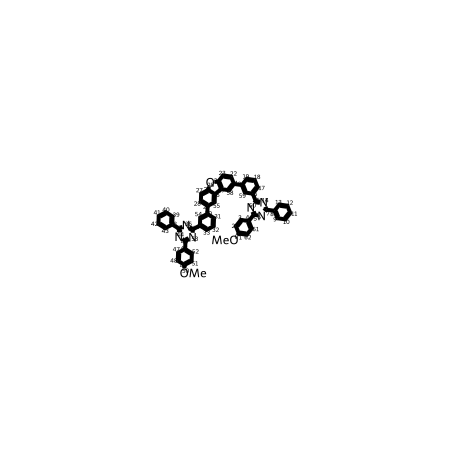 COc1ccc(-c2nc(-c3ccccc3)nc(-c3cccc(-c4ccc5oc6ccc(-c7cccc(-c8nc(-c9ccccc9)nc(-c9ccc(OC)cc9)n8)c7)cc6c5c4)c3)n2)cc1